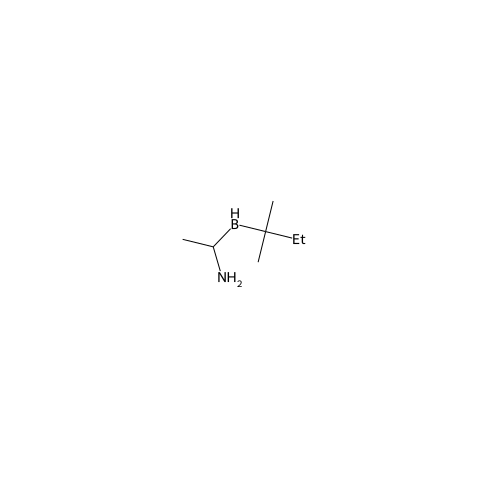 CCC(C)(C)BC(C)N